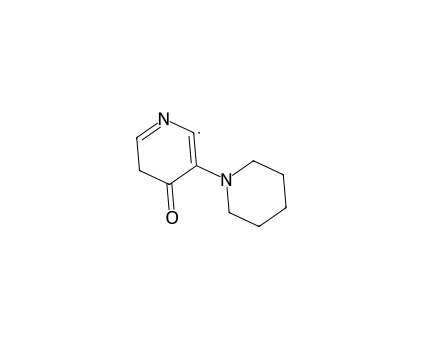 O=C1CC=N[C]=C1N1CCCCC1